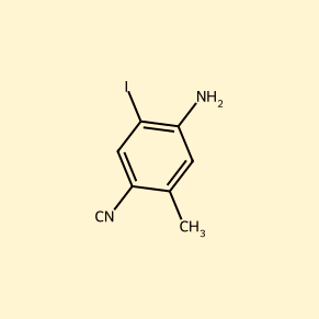 [C-]#[N+]c1cc(I)c(N)cc1C